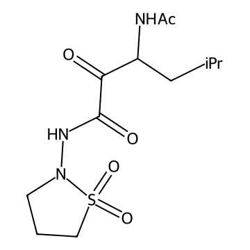 CC(=O)NC(CC(C)C)C(=O)C(=O)NN1CCCS1(=O)=O